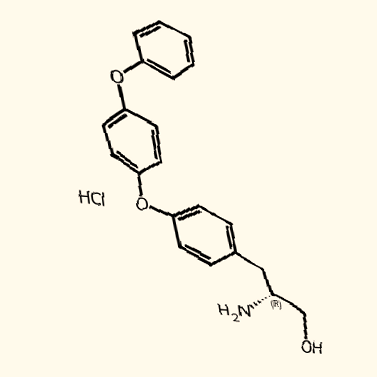 Cl.N[C@@H](CO)Cc1ccc(Oc2ccc(Oc3ccccc3)cc2)cc1